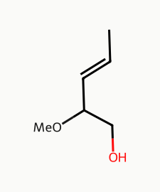 C/C=C/C(CO)OC